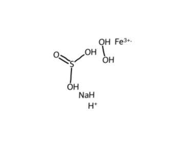 O=S(O)O.OO.[Fe+3].[H+].[NaH]